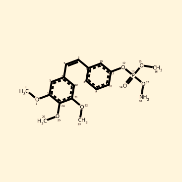 COc1cc(/C=C\c2cccc(OP(=O)(OC)ON)c2)cc(OC)c1OC